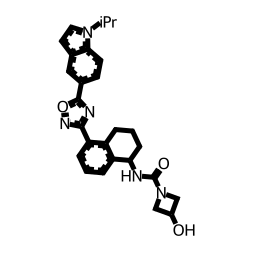 CC(C)n1ccc2cc(-c3nc(-c4cccc5c4CCCC5NC(=O)N4CC(O)C4)no3)ccc21